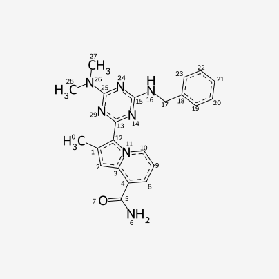 Cc1cc2c(C(N)=O)cccn2c1-c1nc(NCc2ccccc2)nc(N(C)C)n1